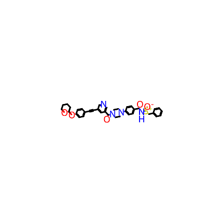 O=C(N[S+]([O-])Cc1ccccc1)c1ccc(N2CCN(C(=O)c3cncc(C#Cc4ccc(OC5CCCCO5)cc4)c3)CC2)cc1